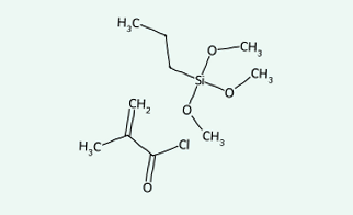 C=C(C)C(=O)Cl.CCC[Si](OC)(OC)OC